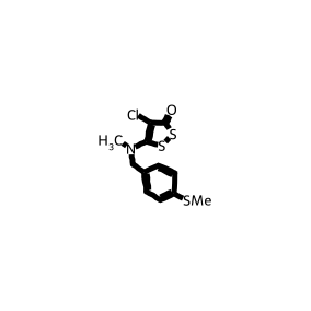 CSc1ccc(CN(C)c2ssc(=O)c2Cl)cc1